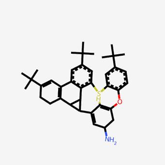 CC(C)(C)C1=CC2=C(CC1)C1C3C4=CC(N)CC5=C4[SH](c4cc(C(C)(C)C)ccc4O5)c4cc(C(C)(C)C)cc2c4C31